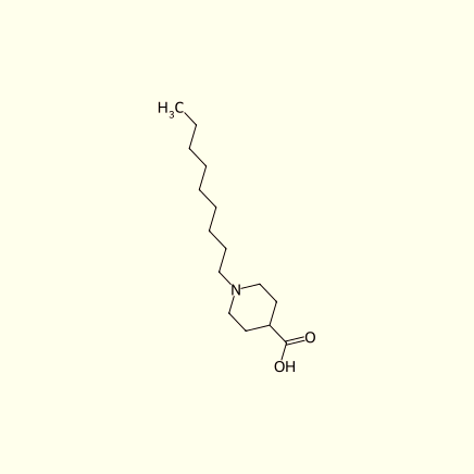 CCCCCCCCCN1CCC(C(=O)O)CC1